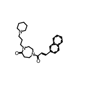 O=C(C=Cc1ccc2ccccc2c1)N1CCC(=O)N(CCCN2CCCCC2)CC1